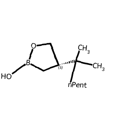 CCCCCC(C)(C)[C@H]1COB(O)C1